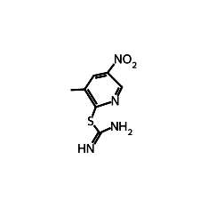 Cc1cc([N+](=O)[O-])cnc1SC(=N)N